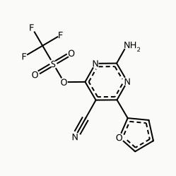 N#Cc1c(OS(=O)(=O)C(F)(F)F)nc(N)nc1-c1ccco1